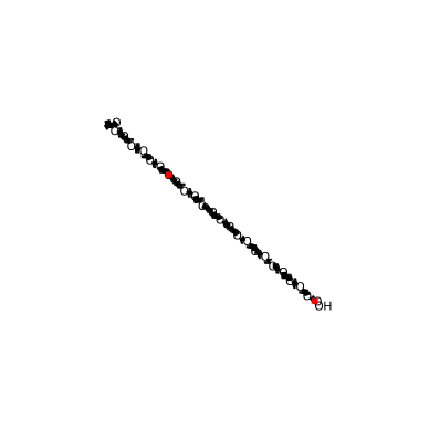 C=C(C)C(=O)OCCOCCOCCOCCOCCOCCOCCOCCOCCOCCOCCOCCOCCOCCOCCOCCOCCOCCOCCOCCOCCOCCOCCOO